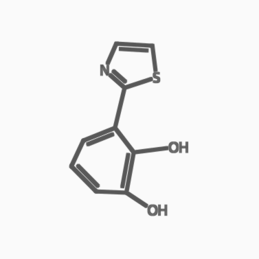 Oc1cccc(-c2nccs2)c1O